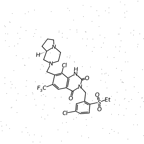 CCS(=O)(=O)c1ccc(Cl)cc1Cn1c(=O)[nH]c2c(Cl)c(CN3CCN4CCC[C@@H]4C3)c(C(F)(F)F)cc2c1=O